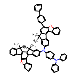 CC1(C)c2cc(N(c3ccc(N(c4ccccc4)c4ccccc4)cc3)c3ccc4c(c3)C(C)(C)c3c5c(c6oc7ccccc7c6c3-4)-c3ccccc3C5(C)C)ccc2-c2c1cc(-c1ccc(-c3ccccc3)cc1)c1oc3ccccc3c21